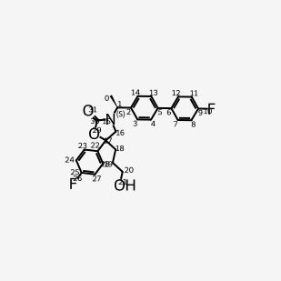 C[C@@H](c1ccc(-c2ccc(F)cc2)cc1)N1CC(CCCO)(c2ccc(F)cc2)OC1=O